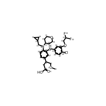 COCC(CC(=O)O)c1ccc(N(CC2CC2)C2CCOCC2)c(Nc2ccc(Cl)c(OCC(F)F)c2)c1